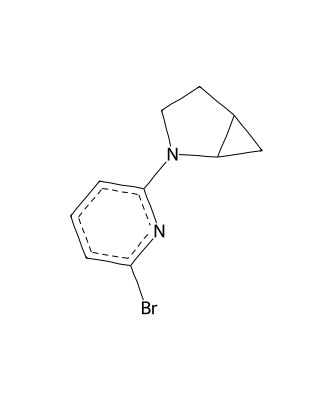 Brc1cccc(N2CCC3CC32)n1